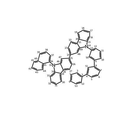 c1ccc(-c2cccc(-c3cccc(-n4c5ccccc5c5ccc(-c6ccc7c8ccccc8n(-c8cccc9ccccc89)c7c6)cc54)c3)c2)cc1